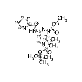 CCOC(=O)N1N=C(NC(=O)c2ccccn2)C2CN(C(=O)OC(C)(C)C)C(C)(C)C21